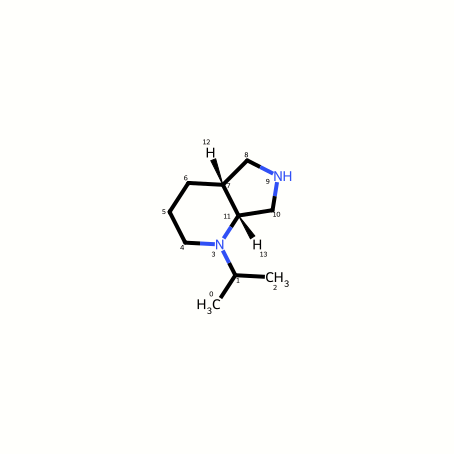 CC(C)N1CCC[C@@H]2CNC[C@@H]21